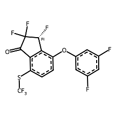 O=C1c2c(SC(F)(F)F)ccc(Oc3cc(F)cc(F)c3)c2[C@@H](F)C1(F)F